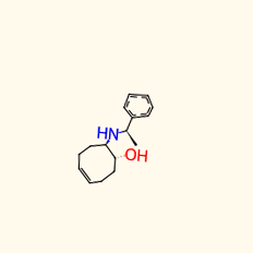 C[C@@H](N[C@@H]1CC/C=C\CC[C@H]1O)c1ccccc1